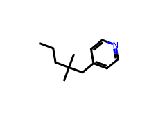 CCCC(C)(C)Cc1ccncc1